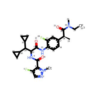 CCn1ncc(F)c1C(=O)NC(C(=O)Nc1ccc([C@H](C)C(=O)N(C)CC(F)(F)F)cc1F)C(C1CC1)C1CC1